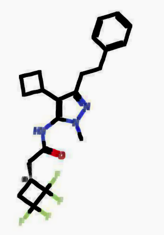 Cn1nc(CCc2ccccc2)c(C2CCC2)c1NC(=O)C[C@H]1CC(F)(F)C1(F)F